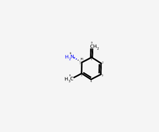 C=C1C=CC=C(C)[C@@H]1N